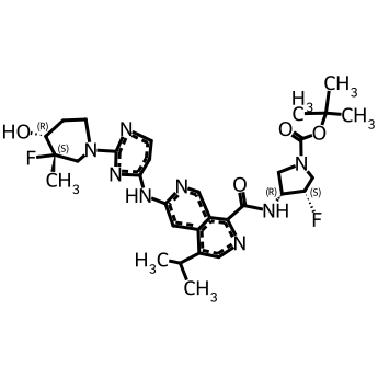 CC(C)c1cnc(C(=O)N[C@@H]2CN(C(=O)OC(C)(C)C)C[C@@H]2F)c2cnc(Nc3ccnc(N4CC[C@@H](O)[C@@](C)(F)C4)n3)cc12